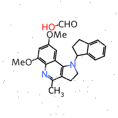 COc1cc(OC)c2nc(C)c3c(c2c1)N(C1CCc2ccccc21)CC3.O=CO